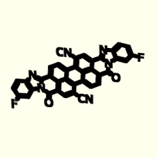 [C-]#[N+]c1cc2c3c(ccc4c5c(C#N)cc6c(=O)n7c8cc(F)ccc8nc7c7ccc(c1c43)c5c67)c(=O)n1c3cc(F)ccc3nc21